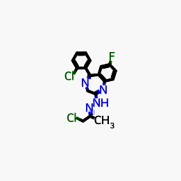 C/C(CCl)=N\NC1=Nc2ccc(F)cc2C(c2ccccc2Cl)=NC1